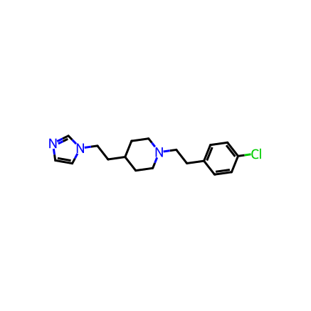 Clc1ccc(CCN2CCC(CCn3ccnc3)CC2)cc1